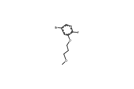 COCCCOc1cc(Br)cnc1F